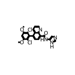 COc1cc(OC)c(Cl)c(-c2ccc(C(=O)Nc3cnc[nH]3)c3ncccc23)c1Cl